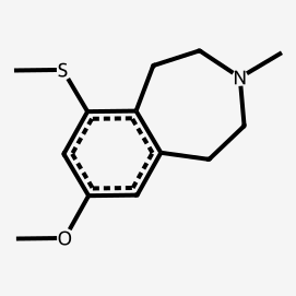 COc1cc2c(c(SC)c1)CCN(C)CC2